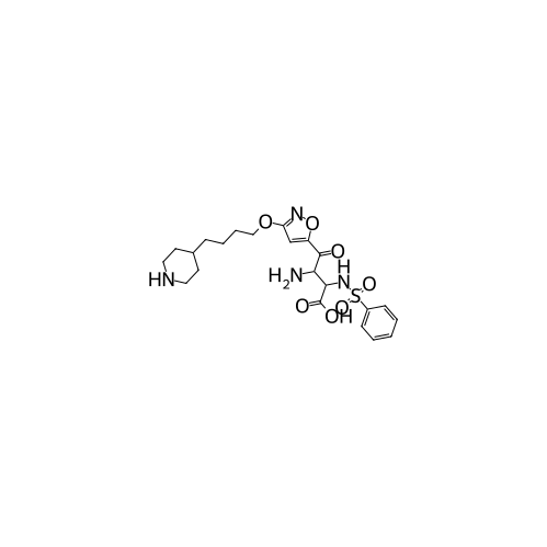 NC(C(=O)c1cc(OCCCCC2CCNCC2)no1)C(NS(=O)(=O)c1ccccc1)C(=O)O